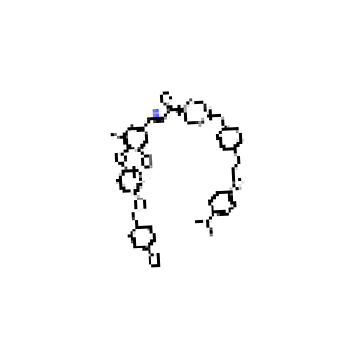 Cc1cc(/C=C/C(=O)N2CCN(Cc3ccc(CCOc4ccc(C(C)C)cc4)cc3)CC2)cc(Cl)c1Oc1ccc(OCc2ccc(Cl)cc2)cn1